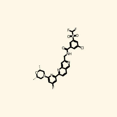 C[C@@H]1CN(c2cc(F)cc(-c3ccc4cnc(CNC(=O)c5cc(Cl)cc(S(=O)(=O)C(F)F)c5)cc4n3)n2)C[C@H](C)O1